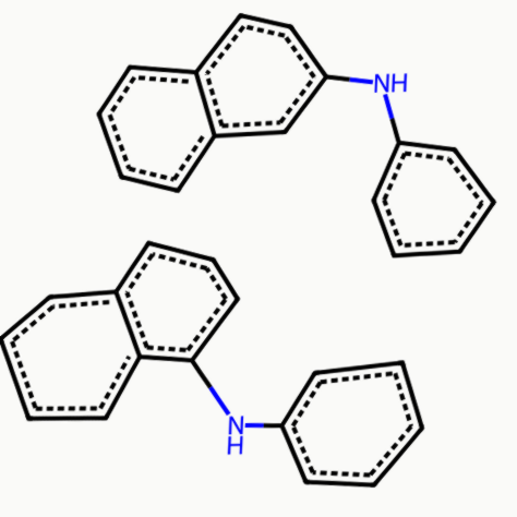 c1ccc(Nc2ccc3ccccc3c2)cc1.c1ccc(Nc2cccc3ccccc23)cc1